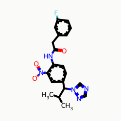 CC(C)C(c1ccc(NC(=O)Cc2cccc(F)c2)c([N+](=O)[O-])c1)n1cncn1